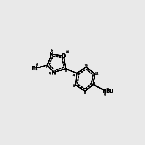 CCCCc1ccc(-c2nc(CC)no2)cc1